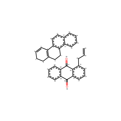 C1=CC2=C(CC1)CCc1c2ccc2ccccc12.C=CCc1cccc2c1C(=O)c1ccccc1C2=O